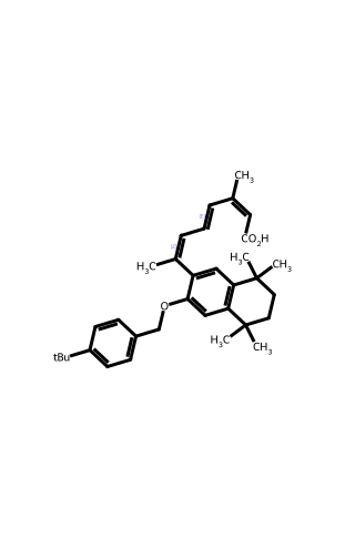 CC(=CC(=O)O)/C=C/C=C(/C)c1cc2c(cc1OCc1ccc(C(C)(C)C)cc1)C(C)(C)CCC2(C)C